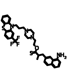 CC(Cc1ccc2cccc(N)c2c1)C(=S)OCCN1CCN(CCCN2c3ccccc3Sc3ccc(C(F)(F)F)cc32)CC1